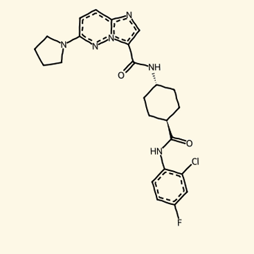 O=C(N[C@H]1CC[C@H](C(=O)Nc2ccc(F)cc2Cl)CC1)c1cnc2ccc(N3CCCC3)nn12